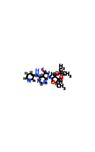 C[C@H]1O[C@@H](n2cc(I)c3c(Nc4cccnc4)ncnc32)[C@@H]2OC(C)(C)O[C@@H]21